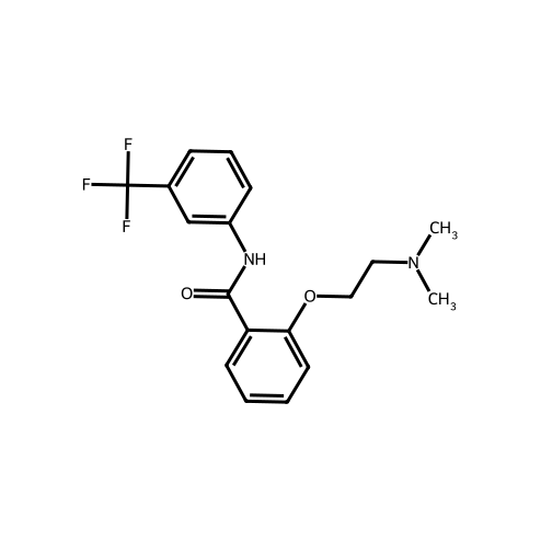 CN(C)CCOc1ccccc1C(=O)Nc1cccc(C(F)(F)F)c1